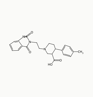 Cc1ccc(C2CCN(CCn3c(=O)[nH]c4ccccc4c3=O)CC2C(=O)O)cc1